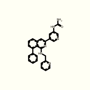 NC(=O)Nc1cncc(-c2cc3cccc(-c4ccccc4)c3c(NCc3ccccn3)n2)c1